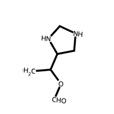 [CH2]C(OC=O)C1CNCN1